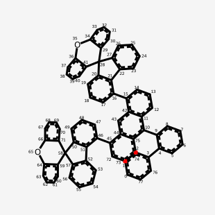 c1ccc(-c2ccccc2-c2c3cccc(-c4cccc5c4-c4ccccc4C54c5ccccc5Oc5ccccc54)c3cc3c(-c4cccc5c4-c4ccccc4C54c5ccccc5Oc5ccccc54)cccc23)cc1